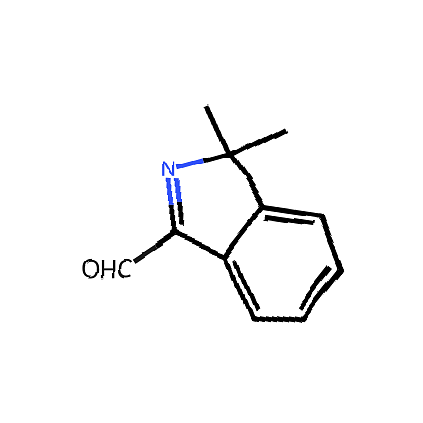 CC1(C)N=C(C=O)c2ccccc21